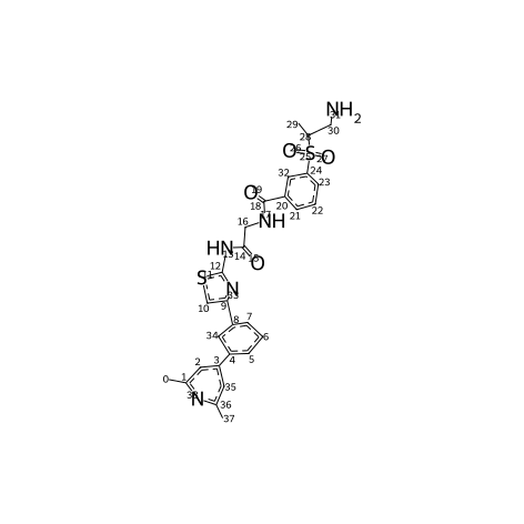 Cc1cc(-c2cccc(-c3csc(NC(=O)CNC(=O)c4cccc(S(=O)(=O)C(C)CN)c4)n3)c2)cc(C)n1